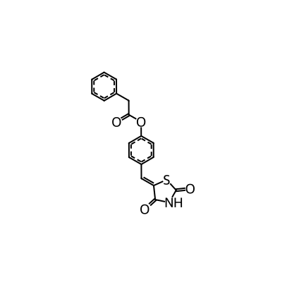 O=C(Cc1ccccc1)Oc1ccc(/C=C2\SC(=O)NC2=O)cc1